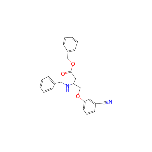 N#Cc1cccc(OCC(CC(=O)OCc2ccccc2)NCc2ccccc2)c1